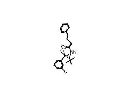 CC(C)(C)N(NC(=O)CCCc1ccccc1)C(=O)c1cccc(F)c1